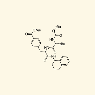 COC(=O)c1ccc(C[C@H](NC(=O)[C@@H](NC(=O)OC(C)(C)C)C(C)(C)C)C(=O)N[C@@H]2CCCc3ccccc32)cc1